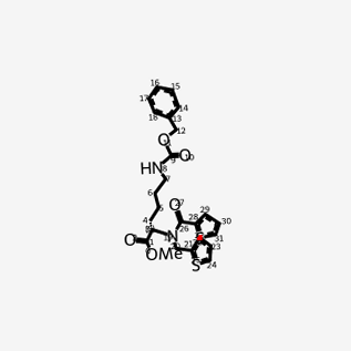 COC(=O)[C@H](CCCCNC(=O)OCc1ccccc1)N(Cc1cccs1)C(=O)c1cccs1